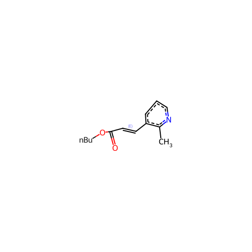 CCCCOC(=O)/C=C/c1cccnc1C